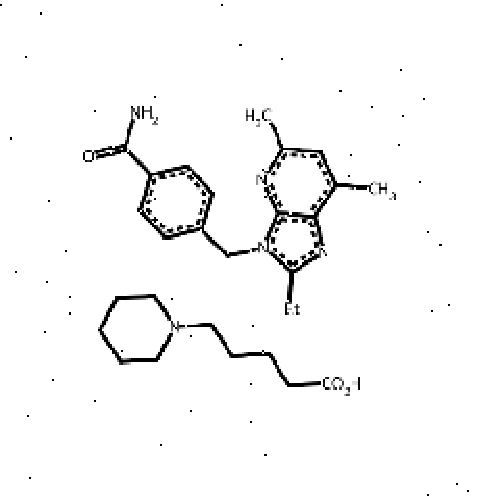 CCc1nc2c(C)cc(C)nc2n1Cc1ccc(C(N)=O)cc1.O=C(O)CCCCN1CCCCC1